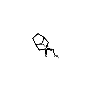 CN=S1(=O)CC2CCC(C1)N2C